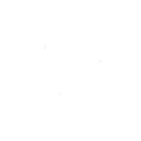 Fc1c(Br)cc(Br)cc1Br